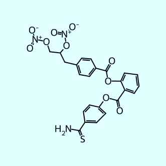 NC(=S)c1ccc(OC(=O)c2ccccc2OC(=O)c2ccc(CC(CO[N+](=O)[O-])O[N+](=O)[O-])cc2)cc1